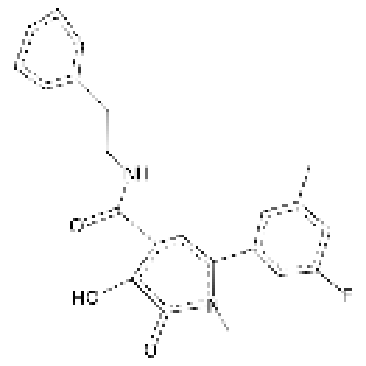 Cc1cc(F)cc(-c2cc(C(=O)NCCc3ccccc3)c(O)c(=O)n2C)c1